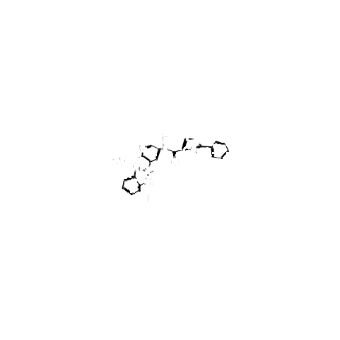 COc1ncc(NC(=O)c2coc(-c3ccccc3)n2)cc1S(=O)(=O)Nc1c(Cl)cccc1C(F)(F)F